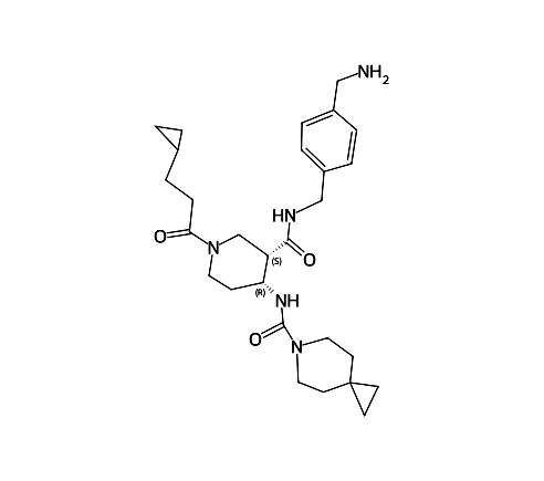 NCc1ccc(CNC(=O)[C@H]2CN(C(=O)CCC3CC3)CC[C@H]2NC(=O)N2CCC3(CC2)CC3)cc1